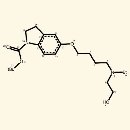 CCN(CCO)CCCCOc1ccc2c(c1)CCN2C(=O)OC(C)(C)C